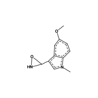 COc1ccc2c(c1)c(C1NO1)cn2C